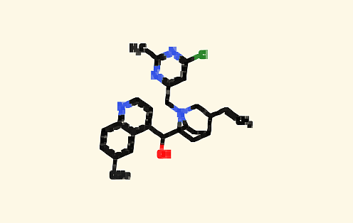 C=CC1C[N+]2(Cc3cc(Cl)nc(C)n3)CCC1CC2C(O)c1ccnc2ccc(OC)cc12